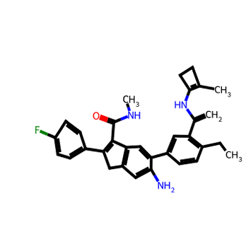 C=C(NC1=C(C)CC1)c1cc(-c2cc3c(cc2N)CC(c2ccc(F)cc2)=C3C(=O)NC)ccc1CC